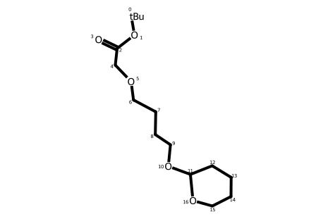 CC(C)(C)OC(=O)COCCCCOC1CCCCO1